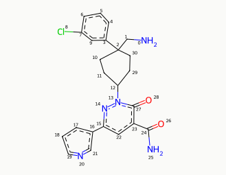 NCC1(c2cccc(Cl)c2)CCC(n2nc(-c3cccnc3)cc(C(N)=O)c2=O)CC1